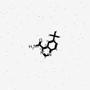 CC(C)(C)c1ccc2ncnc(C(N)=O)c2c1